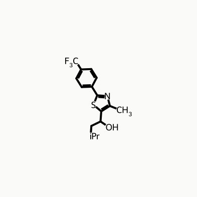 Cc1nc(-c2ccc(C(F)(F)F)cc2)sc1C(O)CC(C)C